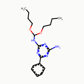 CCCCOC(Nc1nc(N)nc(-c2ccccc2)n1)OCCCC